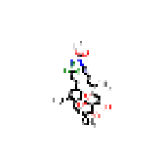 COC(=O)N/C=C/CCC(C)c1cc(O)c(C(=O)C(C)=C=Cc2ccc(CCC(F)(F)F)cc2C)c(=O)o1